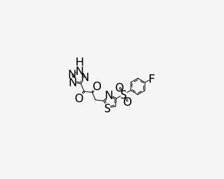 O=C(Cc1nc(S(=O)(=O)c2ccc(F)cc2)cs1)C(=O)c1nn[nH]n1